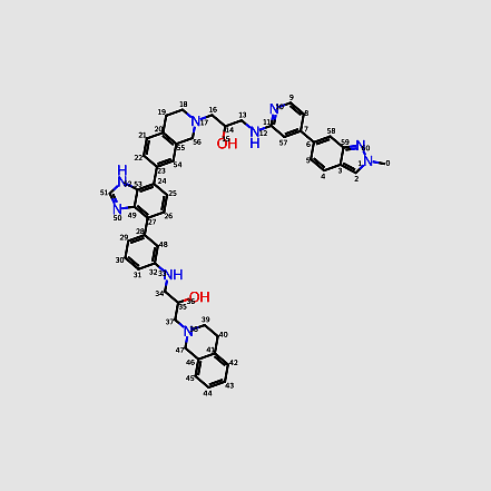 Cn1cc2ccc(-c3ccnc(NCC(O)CN4CCc5ccc(-c6ccc(-c7cccc(NCC(O)CN8CCc9ccccc9C8)c7)c7nc[nH]c67)cc5C4)c3)cc2n1